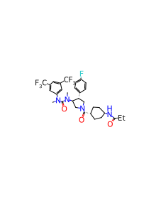 CCC(=O)N[C@H]1CC[C@H](C(=O)N2C[C@@H](N(C)C(=O)N(C)c3cc(C(F)(F)F)cc(C(F)(F)F)c3)[C@H](c3ccc(F)cc3)C2)CC1